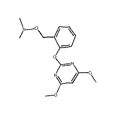 COc1cc(OC)nc(Oc2ccccc2CON(C)C)n1